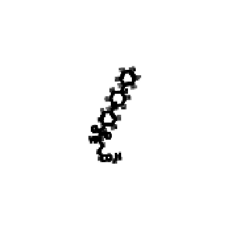 O=C(O)CCNS(=O)(=O)c1ccc(N2CCC(c3ccccc3)CC2)cc1